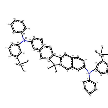 CC1(C)c2cc3cc(N(c4ccccc4)c4cccc([Si](C)(C)C)c4)ccc3cc2-c2cc3ccc(N(c4ccccc4)c4cccc([Si](C)(C)C)c4)cc3cc21